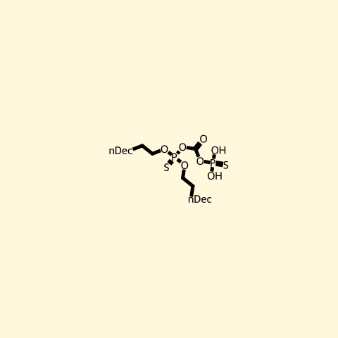 CCCCCCCCCCCCOP(=S)(OCCCCCCCCCCCC)OC(=O)OP(O)(O)=S